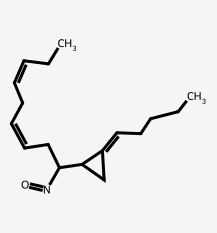 CC/C=C\C/C=C\CC(N=O)C1C/C1=C\CCCC